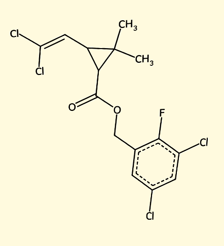 CC1(C)C(C=C(Cl)Cl)C1C(=O)OCc1cc(Cl)cc(Cl)c1F